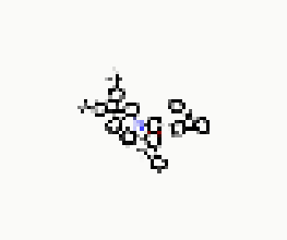 CC(C)(C)c1ccc(C2(c3ccc(C(C)(C)C)cc3)c3ccccc3-c3c(N(c4ccc(-c5ccc6c(c5)C(C)(c5ccccc5)c5ccccc5-6)cc4)c4ccccc4-c4cccc5c4C(C)(C)c4ccccc4-5)cccc32)cc1